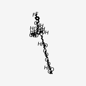 CC(C)(C)OC(=O)NCCOCCOCCOCCOCCC(=O)NCCCCCCO[C@]1(C(=O)O)C[C@H](O)[C@@H](NC(=O)CO)[C@H]([C@H](O)[C@H](O)CNC(=O)Cc2ccc(C(F)F)cc2)O1